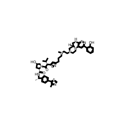 Cc1ncsc1-c1ccc([C@H](C)NC(=O)[C@@H]2C[C@@H](O)CN2C(=O)[C@@H](c2cc(CCCN(C)CCN3CCN4c5cc(-c6ccccc6O)nnc5NC[C@H]4C3)no2)C(C)C)cc1